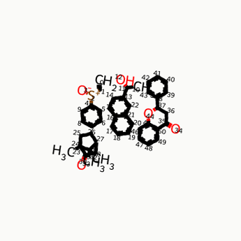 C=C[S+]([O-])c1ccccc1.CC(O)c1ccc2ccccc2c1.CC12CCC(CC1=O)C2(C)C.O=C1CC(c2ccccc2)Oc2ccccc21